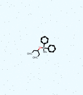 CC(C)(C)[Si](OC(CC=O)CC=O)(c1ccccc1)c1ccccc1